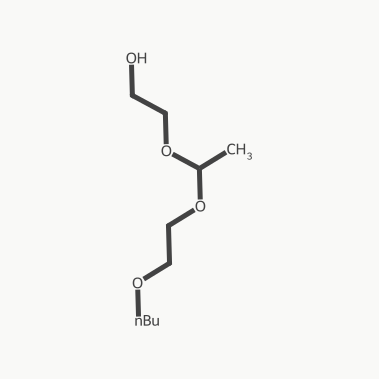 CCCCOCCOC(C)OCCO